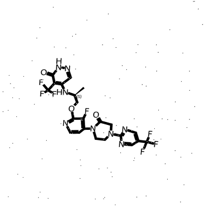 C[C@@H](COc1nccc(N2CCN(c3ncc(C(F)(F)F)cn3)CC2=O)c1F)Nc1cn[nH]c(=O)c1C(F)(F)F